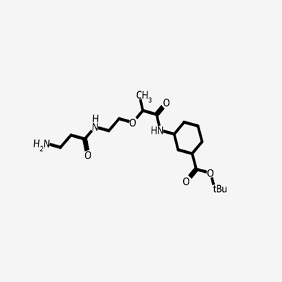 CC(OCCNC(=O)CCN)C(=O)NC1CCCC(C(=O)OC(C)(C)C)C1